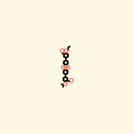 CCCOc1ccc(-c2ccc(S(=O)(=O)c3ccc(-c4ccc(OC(C)C)c(C=O)c4)cc3)cc2)cc1C=O